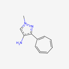 Cn1cc(N)c(C2=CC=CC=C=C2)n1